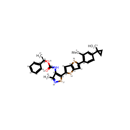 COc1cc(C2(C(=O)O)CC2)ccc1-c1cc2sc(-c3snc(C)c3NC(=O)O[C@H](C)c3ccccc3)cc2s1